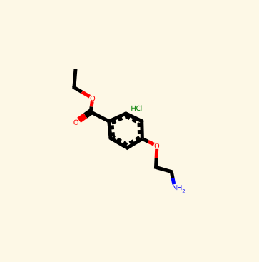 CCOC(=O)c1ccc(OCCN)cc1.Cl